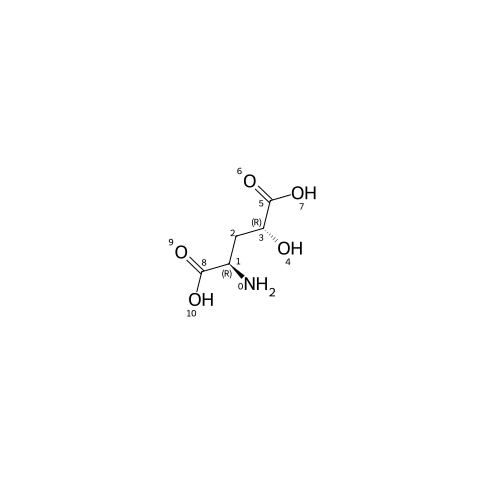 N[C@H](C[C@@H](O)C(=O)O)C(=O)O